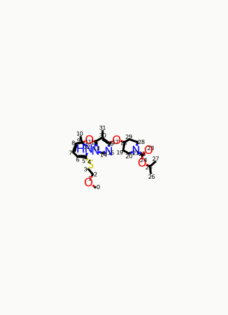 COCCSC1=CC=CC(C)(Oc2ncnc(OC3CCN(C(=O)OC(C)C)CC3)c2C)N1